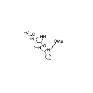 COCCCn1cc(CN(C(=O)[C@@H]2CNC[C@H](NC(=O)CN(C)C)C2)C2CC2)c2ccccc21